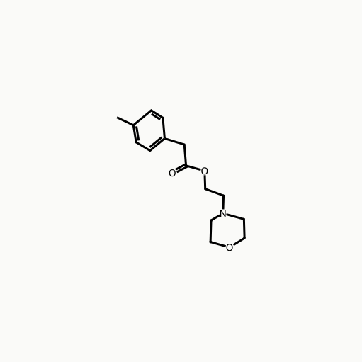 Cc1ccc(CC(=O)OCCN2CCOCC2)cc1